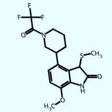 COc1ccc(C2CCCN(C(=O)C(F)(F)F)C2)c2c1NC(=O)C2SC